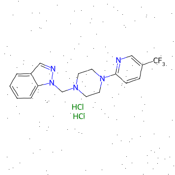 Cl.Cl.FC(F)(F)c1ccc(N2CCN(Cn3ncc4ccccc43)CC2)nc1